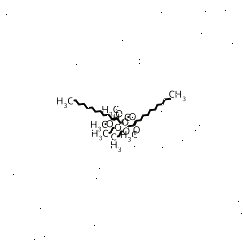 CCCCCCCCCCC(OC)=C(OC)C(OCCC)OC(OCCC)C(OC)=C(CCCCCCCCCC)OC